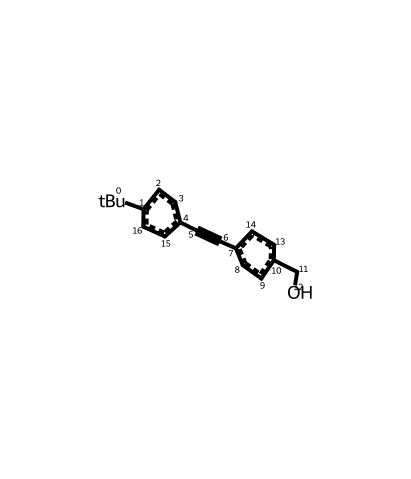 CC(C)(C)c1ccc(C#Cc2ccc(CO)cc2)cc1